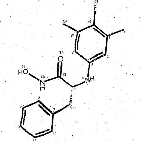 Cc1cc(N[C@H](Cc2ccccc2)C(=O)NO)cc(C)c1F